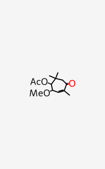 COC1C=C(C)C(=O)CC(C)(C)C1OC(C)=O